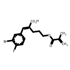 C=C(C)C(=O)OCCCC(=Cc1ccc(F)c(Br)c1)C(=O)O